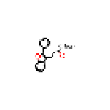 COC(=O)CCc1c(-c2ccccc2)oc2ccccc12